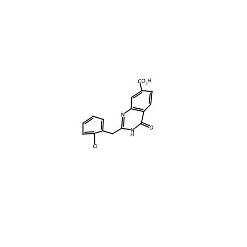 O=C(O)c1ccc2c(=O)[nH]c(Cc3ccccc3Cl)nc2c1